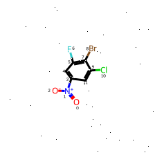 O=[N+]([O-])c1cc(F)c(Br)c(Cl)c1